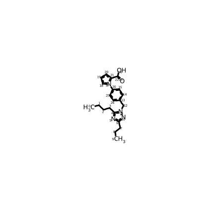 CCCCc1nc(CCC)nn1Cc1ccc(-n2cccc2C(=O)O)cc1